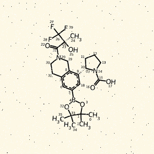 CC1(C)OB(c2cc3c(c([C@@H]4CCCN4C(=O)O)c2)CN(C(=O)[C@](C)(O)C(F)(F)F)CC3)OC1(C)C